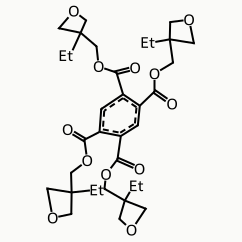 CCC1(COC(=O)c2cc(C(=O)OCC3(CC)COC3)c(C(=O)OCC3(CC)COC3)cc2C(=O)OCC2(CC)COC2)COC1